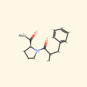 COC(=O)[C@@H]1CCCN1C(=O)C(C)Cc1ccccc1